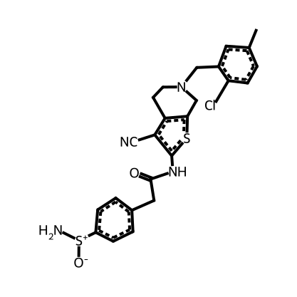 Cc1ccc(Cl)c(CN2CCc3c(sc(NC(=O)Cc4ccc([S+](N)[O-])cc4)c3C#N)C2)c1